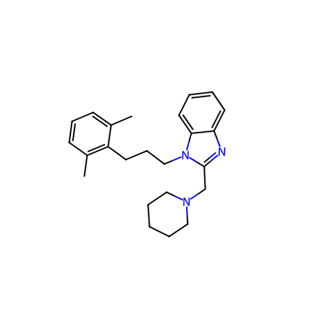 Cc1cccc(C)c1CCCn1c(CN2CCCCC2)nc2ccccc21